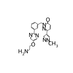 Cn1cc(-c2ccc(=O)n(Cc3cccc(-c4ncc(OCCN)cn4)c3)n2)cn1